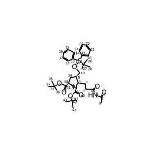 CC(=O)NC(=O)CC[C@@H]1[C@H](CO[Si](c2ccccc2)(c2ccccc2)C(C)(C)C)C[C@H](C(=O)OC(C)(C)C)N1C(=O)OC(C)(C)C